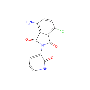 Nc1ccc(Cl)c2c1C(=O)N(c1ccc[nH]c1=O)C2=O